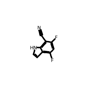 N#Cc1c(F)cc(F)c2cc[nH]c12